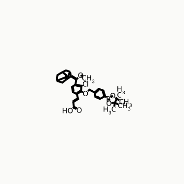 COC(=C1C2CC3CC(C2)CC1C3)c1ccc(C=CC(=O)O)c(OCc2ccc(B3OC(C)(C)C(C)(C)O3)cc2)c1Cl